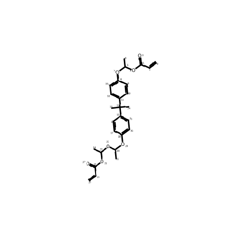 C=CC(=O)OC(C)Oc1ccc(C(C)(C)c2ccc(OC(C)OC(C)OC(=O)C=C)cc2)cc1